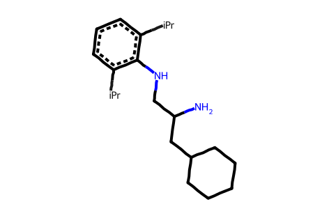 CC(C)c1cccc(C(C)C)c1NCC(N)CC1CCCCC1